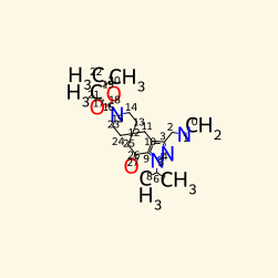 C=NCc1nn(C(C)C)c2c1CC1(CCN(C(=O)OC(C)(C)C)CC1)CC2=O